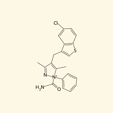 CC1=N[N+](C(N)=O)(c2ccccc2)C(C)=C1Cc1csc2ccc(Cl)cc12